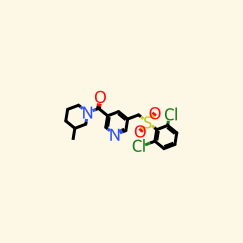 CC1CCCN(C(=O)c2cncc(CS(=O)(=O)c3c(Cl)cccc3Cl)c2)C1